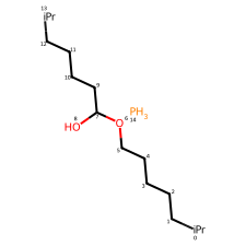 CC(C)CCCCCOC(O)CCCCC(C)C.P